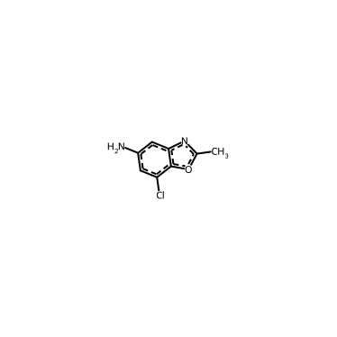 Cc1nc2cc(N)cc(Cl)c2o1